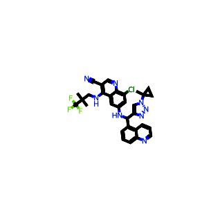 CC1(n2cc(C(Nc3cc(Cl)c4ncc(C#N)c(NCC(C)(C)C(F)(F)F)c4c3)c3cccc4ncccc34)nn2)CC1